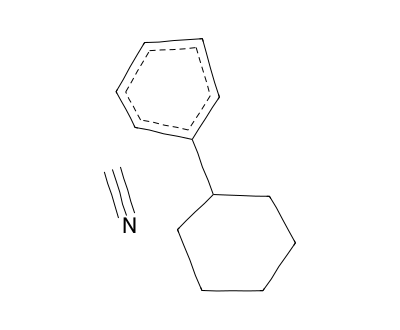 C#N.c1ccc(C2CCCCC2)cc1